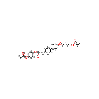 C=CC(=O)OCCCCOc1ccc(-c2ccc(/C=C/C(=O)Oc3ccc(OC(=O)CC)cc3)cc2)cc1